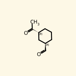 CC(=O)[C@@H]1CCC[C@@H](C=O)C1